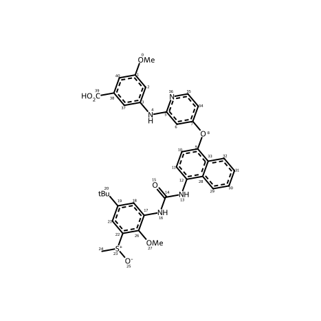 COc1cc(Nc2cc(Oc3ccc(NC(=O)Nc4cc(C(C)(C)C)cc([S+](C)[O-])c4OC)c4ccccc34)ccn2)cc(C(=O)O)c1